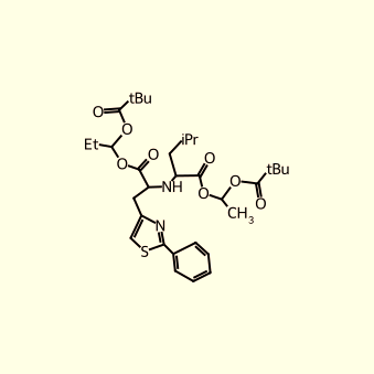 CCC(OC(=O)C(Cc1csc(-c2ccccc2)n1)NC(CC(C)C)C(=O)OC(C)OC(=O)C(C)(C)C)OC(=O)C(C)(C)C